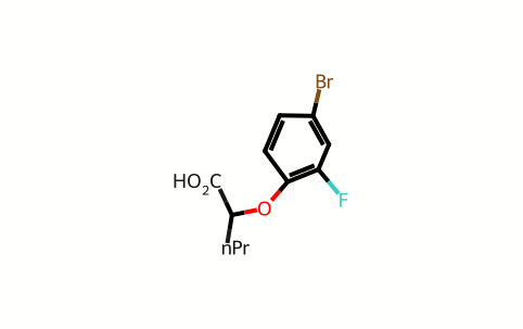 CCCC(Oc1ccc(Br)cc1F)C(=O)O